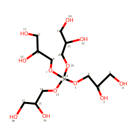 OCC(O)CO[Si](OCC(O)CO)(OCC(O)CO)OCC(O)CO